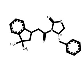 CC1(C)CC(CC(=O)N2C(=O)OC[C@@H]2Cc2ccccc2)c2ccccc21